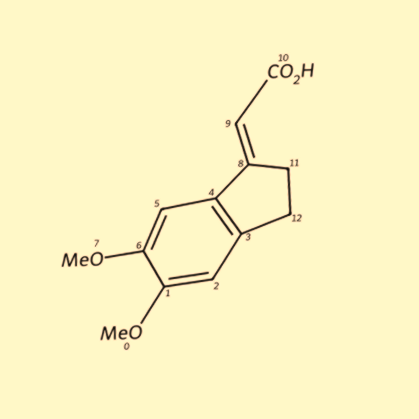 COc1cc2c(cc1OC)C(=CC(=O)O)CC2